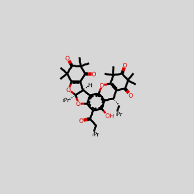 CC(C)CC(=O)c1c(O)c2c(c3c1O[C@@]1(C(C)C)OC4=C(C(=O)C(C)(C)C(=O)C4(C)C)[C@@H]31)OC1=C(C(=O)C(C)(C)C(=O)C1(C)C)[C@@H]2CC(C)C